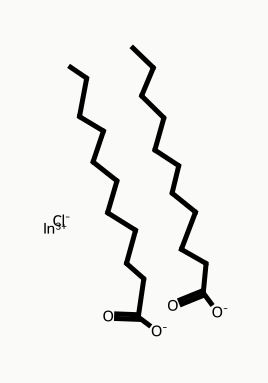 CCCCCCCCCCC(=O)[O-].CCCCCCCCCCC(=O)[O-].[Cl-].[In+3]